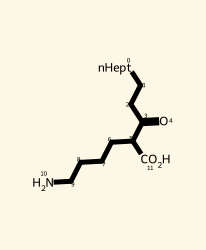 CCCCCCCCCC(=O)C(CCCCN)C(=O)O